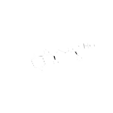 O=CC(=O)OCCC(=O)OC1CSCCO1